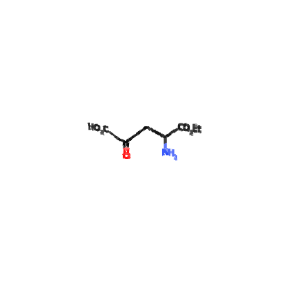 CCOC(=O)C(N)CC(=O)C(=O)O